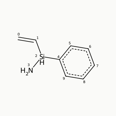 C=C[SiH](N)c1ccccc1